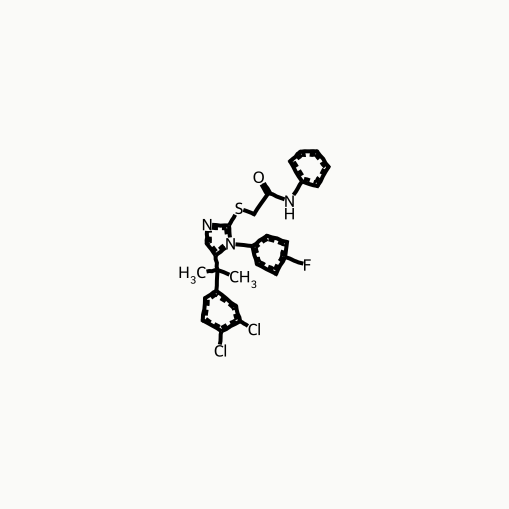 CC(C)(c1ccc(Cl)c(Cl)c1)c1cnc(SCC(=O)Nc2ccccc2)n1-c1ccc(F)cc1